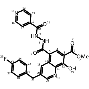 COC(=O)c1cc(C(=O)NNC(=O)c2ccncc2)c2cc(Cc3ccc(F)cc3)cnc2c1O